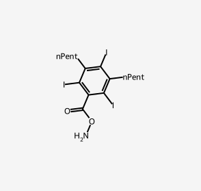 CCCCCc1c(I)c(CCCCC)c(I)c(C(=O)ON)c1I